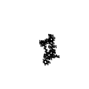 CC[C@H](C)[C@H](NC(=O)[C@H]1CCCCN1C)C(=O)N(CCCCc1cnnn1CCO)[C@H](C[C@@H](OC(C)=O)c1nc(C(=O)N[C@@H](Cc2ccc(N)cc2)CC(C)(C)C(=O)O)cs1)C(C)C